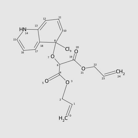 C=CCOC(=O)C(OC1(Cl)C=CC=C2NC=CC=C21)C(=O)OCC=C